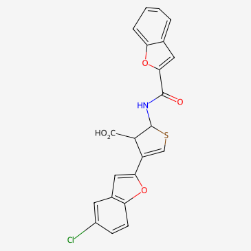 O=C(NC1SC=C(c2cc3cc(Cl)ccc3o2)C1C(=O)O)c1cc2ccccc2o1